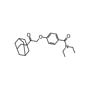 CCN(CC)C(=O)c1ccc(OCC(=O)C23CC4CC(CC(C4)C2)C3)cc1